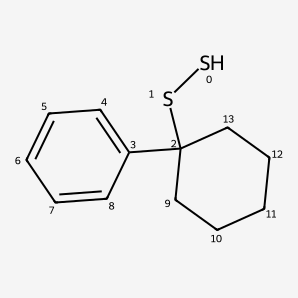 SSC1(c2ccccc2)CCCCC1